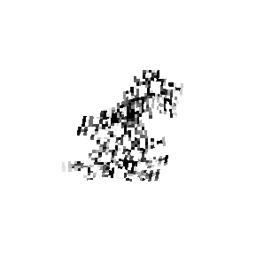 CC1(C)[C@@H](O[C@H]2O[C@H](C(=O)O)[C@@H](O)[C@H](O)[C@H]2O[C@@H]2O[C@H](C(=O)O)[C@@H](O)[C@H](O)[C@H]2O)CC[C@]2(C)[C@H]3C(=O)C=C4[C@@H]5C[C@@](C)(C(=O)O)CC[C@]5(C)CC[C@@]4(C)[C@]3(C)CC[C@@H]12.[AlH3]